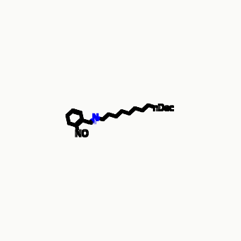 CCCCCCCCCCCCCCCCCC/N=C/C1=C(N=O)CCC=C1